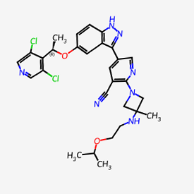 CC(C)OCCNC1(C)CN(c2ncc(-c3n[nH]c4ccc(O[C@H](C)c5c(Cl)cncc5Cl)cc34)cc2C#N)C1